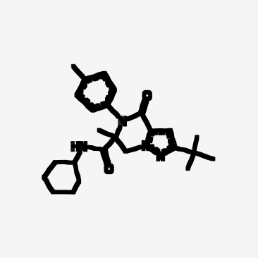 Cc1ccc(N2C(=O)c3cc(C(C)(C)C)nn3CC2(C)C(=O)NC2CCCCC2)cc1